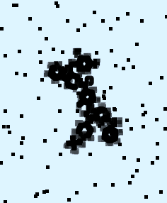 Cc1cc(C(=O)N2CCc3c(n(Cc4ccc(F)cc4F)c4ncccc34)C2)ccc1N1CN(C2CCN(CC(C)(C)C)CC2)c2nc(Nc3ccccc3)ncc21